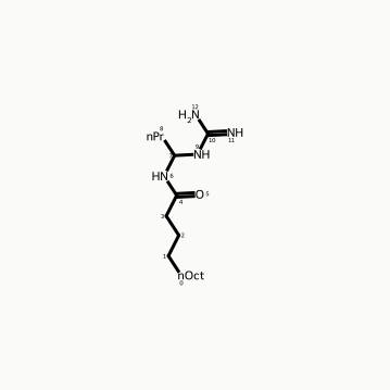 CCCCCCCCCCCC(=O)NC(CCC)NC(=N)N